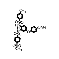 COc1ccc(Oc2ccc(NS(=O)(=O)c3ccc(C)cc3)c(NS(=O)(=O)c3ccc(S(C)(=O)=O)cc3)c2)cc1